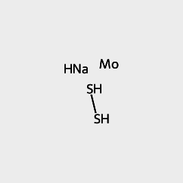 SS.[Mo].[NaH]